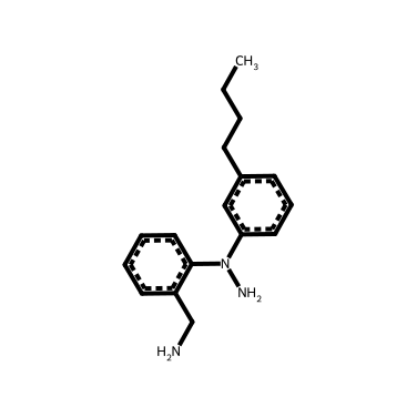 CCCCc1cccc(N(N)c2ccccc2CN)c1